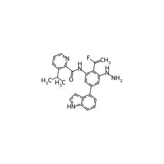 C=C(F)c1c(NN)cc(-c2cccc3[nH]ccc23)cc1NC(=O)c1ncccc1C(C)C